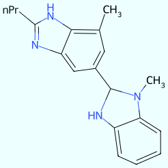 CCCc1nc2cc(C3Nc4ccccc4N3C)cc(C)c2[nH]1